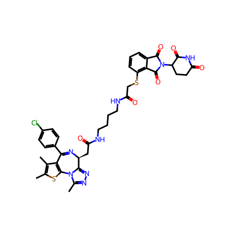 Cc1sc2c(c1C)C(c1ccc(Cl)cc1)=N[C@@H](CC(=O)NCCCCNC(=O)CSc1cccc3c1C(=O)N(C1CCC(=O)NC1=O)C3=O)c1nnc(C)n1-2